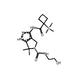 CC1(C)c2[nH]nc(NC(=O)C3(S(C)(C)C)CCC3)c2CN1C(=O)NCCO